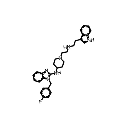 Fc1ccc(Cn2c(NC3CCN(CCNCCc4c[nH]c5ccccc45)CC3)nc3ccccc32)cc1